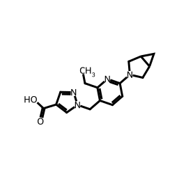 CCc1nc(N2CC3CC3C2)ccc1Cn1cc(C(=O)O)cn1